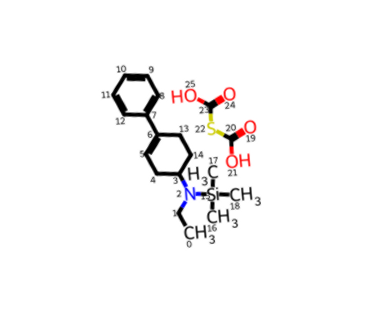 CCN(C1CC=C(c2ccccc2)CC1)[Si](C)(C)C.O=C(O)SC(=O)O